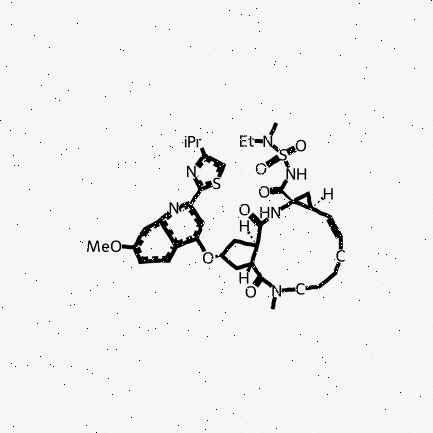 CCN(C)S(=O)(=O)NC(=O)[C@@]12C[C@H]1/C=C\CCCCN(C)C(=O)[C@@H]1C[C@H](Oc3cc(-c4nc(C(C)C)cs4)nc4cc(OC)ccc34)C[C@H]1C(=O)N2